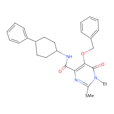 CCn1c(SC)nc(C(=O)NC2CCC(c3ccccc3)CC2)c(OCc2ccccc2)c1=O